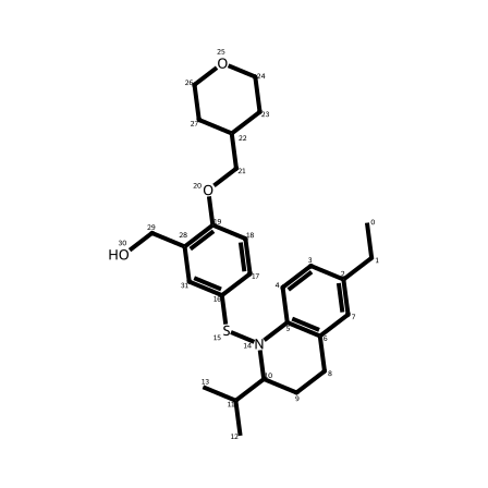 CCc1ccc2c(c1)CCC(C(C)C)N2Sc1ccc(OCC2CCOCC2)c(CO)c1